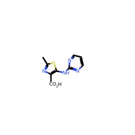 Cc1nc(C(=O)O)c(Nc2ncccn2)s1